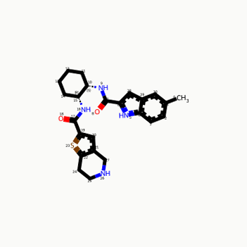 Cc1ccc2[nH]c(C(=O)N[C@H]3CCCC[C@H]3NC(=O)c3cc4c(s3)CCNC4)cc2c1